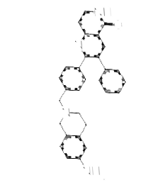 Nc1ccc2c(c1)CCN(Cc1ccc(-c3nc4cc[nH]c(=O)c4cc3-c3ccccc3)cc1)C2